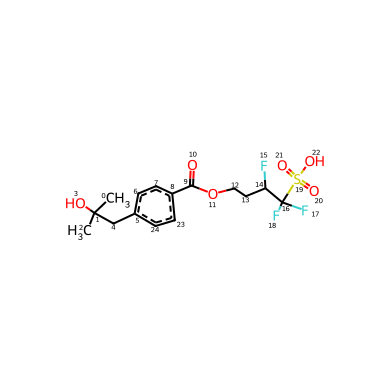 CC(C)(O)Cc1ccc(C(=O)OCCC(F)C(F)(F)S(=O)(=O)O)cc1